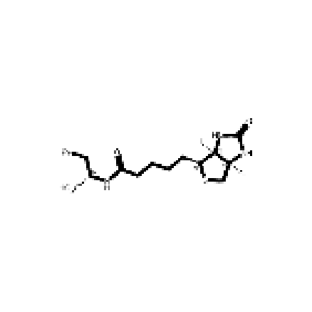 CC(C)C[C@H](NC(=O)CCCC[C@@H]1SC[C@@H]2NC(=O)N[C@@H]21)C(=O)O